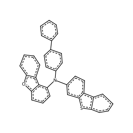 c1ccc(-c2ccc(N(c3ccc4c(c3)sc3ccccc34)c3cccc4oc5ccccc5c34)cc2)cc1